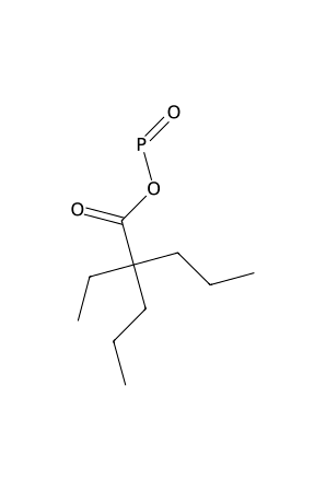 CCCC(CC)(CCC)C(=O)OP=O